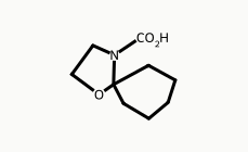 O=C(O)N1CCOC12CCCCC2